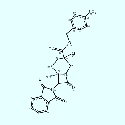 O=C1c2ccccc2C(=O)N1C1C(=O)N2CC(Cl)(C(=O)OCc3ccc([N+](=O)[O-])cc3)CS[C@H]12